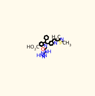 Cc1nc(C)c(-c2ccc3cc(-c4c(C5CCCCC5)c5ccc(C(=O)O)cc5n4CC(=O)Nc4nn[nH]n4)ccc3n2)s1